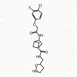 O=C(COc1ccc(Cl)c(F)c1)NC1CC2(C(=O)NCC3CCNO3)CC1C2